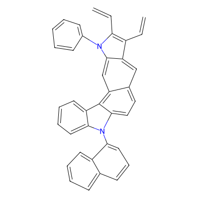 C=Cc1c(C=C)n(-c2ccccc2)c2cc3c(ccc4c3c3ccccc3n4-c3cccc4ccccc34)cc12